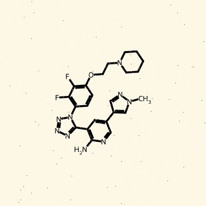 Cn1cc(-c2cnc(N)c(-c3nnnn3-c3ccc(OCCN4CCCCC4)c(F)c3F)c2)cn1